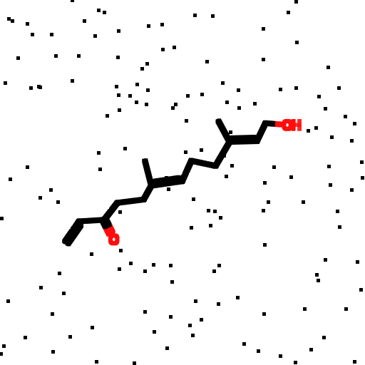 C=CC(=O)CC/C(C)=C/CC/C(C)=C/CO